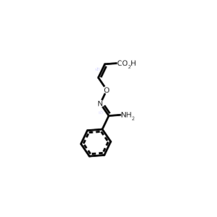 N/C(=N\O/C=C\C(=O)O)c1ccccc1